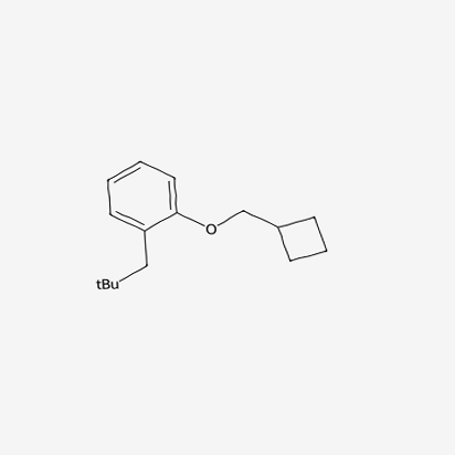 CC(C)(C)Cc1ccccc1OCC1CCC1